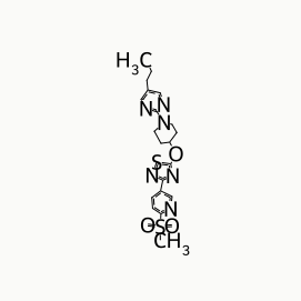 CCCc1cnc(N2CCC(Oc3nc(-c4ccc(S(C)(=O)=O)nc4)ns3)CC2)nc1